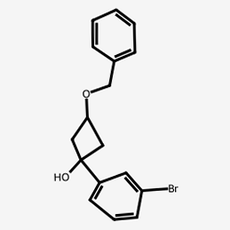 OC1(c2cccc(Br)c2)CC(OCc2ccccc2)C1